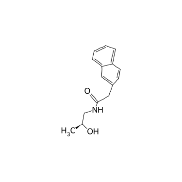 C[C@H](O)CNC(=O)Cc1ccc2ccccc2c1